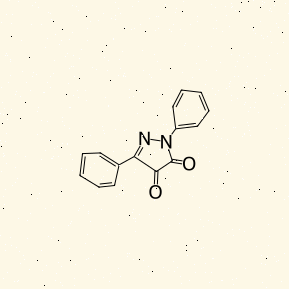 O=C1C(=O)N(c2ccccc2)N=C1c1ccccc1